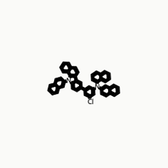 Clc1cc(-c2ccc3c(c2)c2ccc4ccccc4c2n3-c2ccc3ccccc3c2)cc(N(c2ccc3ccccc3c2)c2cccc3ccccc23)c1